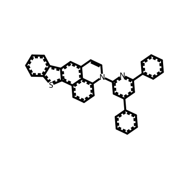 C1=CN(c2cc(-c3ccccc3)cc(-c3ccccc3)n2)c2cccc3c2c1cc1c2ccccc2sc31